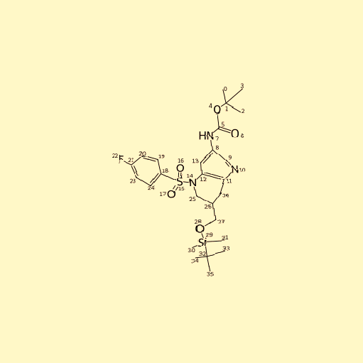 CC(C)(C)OC(=O)Nc1cnc2c(c1)N(S(=O)(=O)c1ccc(F)cc1)CC(CO[Si](C)(C)C(C)(C)C)C2